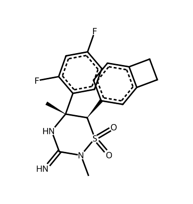 CN1C(=N)N[C@](C)(c2ccc(F)cc2F)[C@@H](c2ccc3c(c2)CC3)S1(=O)=O